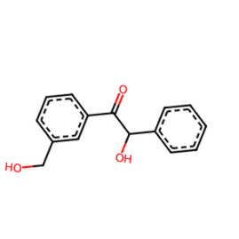 O=C(c1cccc(CO)c1)C(O)c1ccccc1